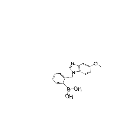 COc1ccc2c(c1)ncn2Cc1ccccc1B(O)O